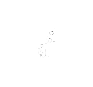 O=C1CO[C@H]2CCN(C(=O)N3CC(OCc4cc(C(F)(F)F)cc(Oc5ccc(F)cc5)n4)C3)CC2N1